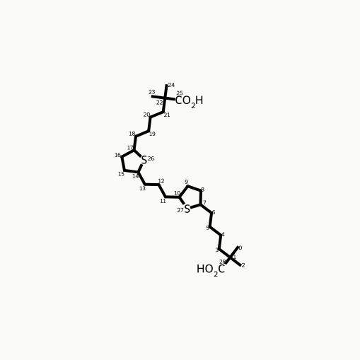 CC(C)(CCCCC1CCC(CCCC2CCC(CCCCC(C)(C)C(=O)O)S2)S1)C(=O)O